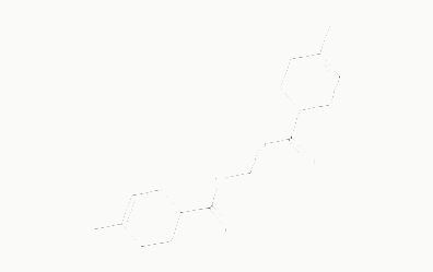 CC1=CCC(C(=O)OCOC(=O)C2CC=C(C)CC2)CC1